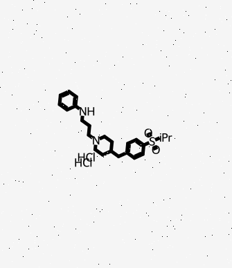 CC(C)S(=O)(=O)c1ccc(CC2CCN(CCCNc3ccccc3)CC2)cc1.Cl.Cl